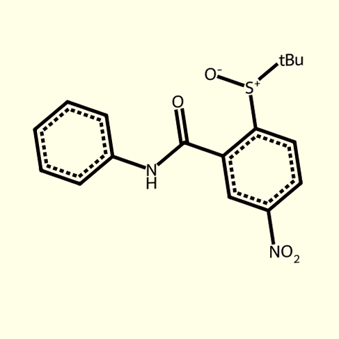 CC(C)(C)[S+]([O-])c1ccc([N+](=O)[O-])cc1C(=O)Nc1ccccc1